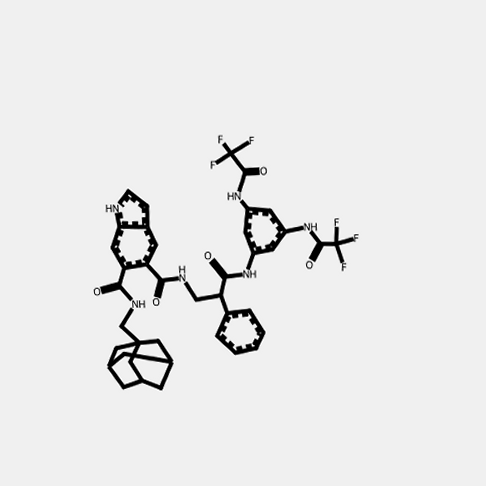 O=C(NCC(C(=O)Nc1cc(NC(=O)C(F)(F)F)cc(NC(=O)C(F)(F)F)c1)c1ccccc1)c1cc2cc[nH]c2cc1C(=O)NCC12CC3CC(CC(C3)C1)C2